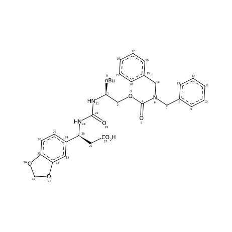 CCCC[C@@H](COC(=O)N(Cc1ccccc1)Cc1ccccc1)NC(=O)N[C@@H](CC(=O)O)c1ccc2c(c1)OCO2